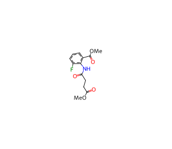 COC(=O)CCC(=O)Nc1c(F)cccc1C(=O)OC